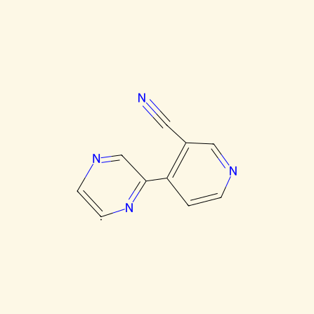 N#Cc1cnccc1-c1cnc[c]n1